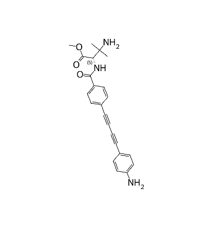 COC(=O)[C@@H](NC(=O)c1ccc(C#CC#Cc2ccc(N)cc2)cc1)C(C)(C)N